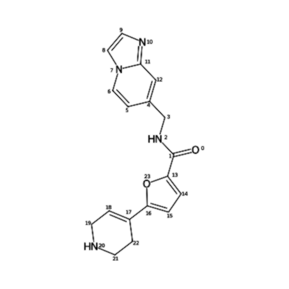 O=C(NCc1ccn2ccnc2c1)c1ccc(C2=CCNCC2)o1